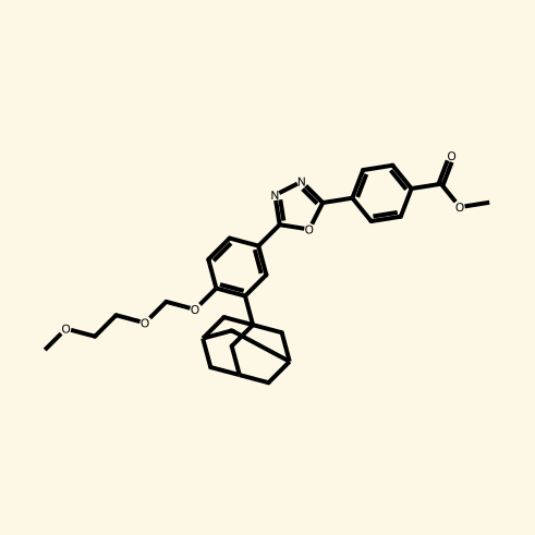 COCCOCOc1ccc(-c2nnc(-c3ccc(C(=O)OC)cc3)o2)cc1C12CC3CC(CC(C3)C1)C2